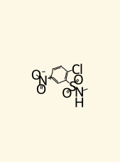 CNS(=O)(=O)c1cc([N+](=O)[O-])ccc1Cl